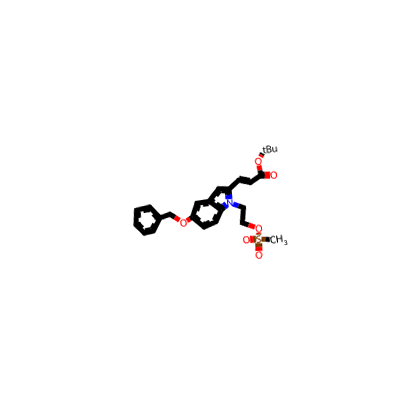 CC(C)(C)OC(=O)C=Cc1cc2cc(OCc3ccccc3)ccc2n1CCOS(C)(=O)=O